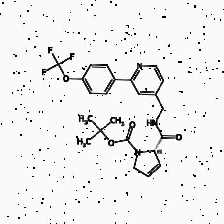 CC(C)(C)OC(=O)N1CC=C[C@H]1C(=O)NCc1ccnc(-c2ccc(OC(F)(F)F)cc2)c1